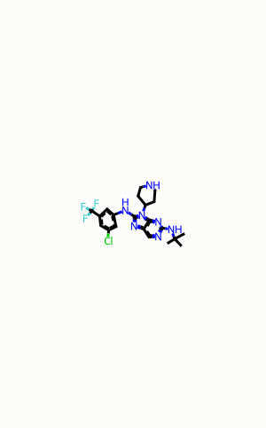 CC(C)(C)Nc1ncc2nc(Nc3cc(Cl)cc(C(F)(F)F)c3)n(C3CCNCC3)c2n1